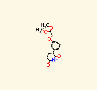 COC(COc1cccc(C2CCC(=O)NC2=O)c1)OC